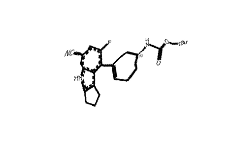 CC(C)(C)OC(=O)N[C@H]1CCC=C(c2c(F)cc(C#N)c3[nH]c4c(c23)CCC4)C1